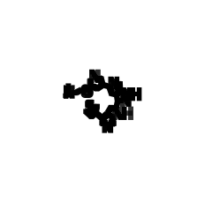 CN(C)CCOc1cncc(-c2cc3c(-c4cc5c(-c6ccsc6)cncc5[nH]4)n[nH]c3cn2)c1